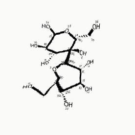 OC[C@H]1O[C@@H]([C@]2(O)[C@H](O)[C@@H](O)C(O)O[C@@H]2CO)[C@H](O)[C@@H](O)[C@@H]1O